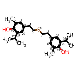 Cc1cc(CCSCCc2cc(C)c(O)c(C(C)C)c2)cc(C(C)C)c1O